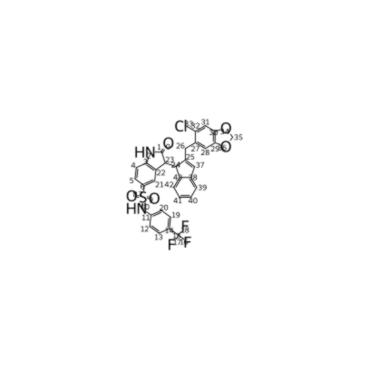 O=C1Nc2ccc(S(=O)(=O)Nc3ccc(C(F)(F)F)cc3)cc2C1C1C(Cc2cc3c(cc2Cl)OCO3)=Cc2ccccc21